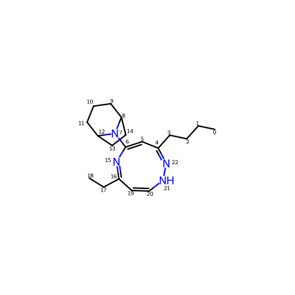 CCCCc1cc(N2C3CCCC2CC3)nc(CC)cc[nH]n1